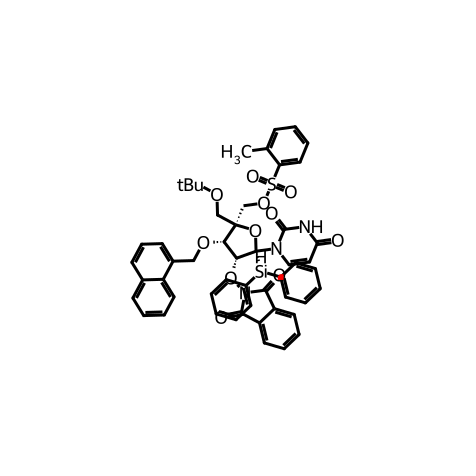 Cc1ccccc1S(=O)(=O)OC[C@]1(COC(C)(C)C)O[C@](n2ccc(=O)[nH]c2=O)([SiH](c2ccccc2)c2ccccc2)[C@H](ON2C(=O)c3ccccc3C2=O)[C@@H]1OCc1cccc2ccccc12